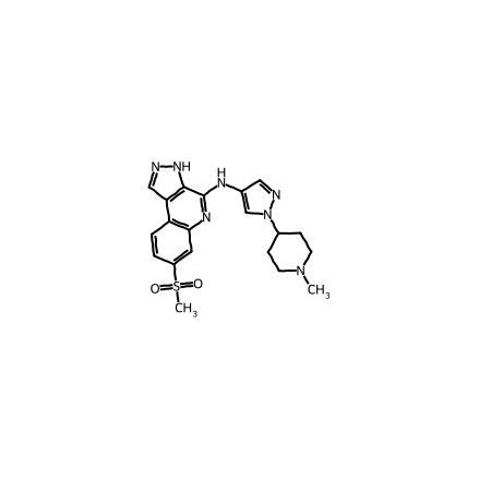 CN1CCC(n2cc(Nc3nc4cc(S(C)(=O)=O)ccc4c4cn[nH]c34)cn2)CC1